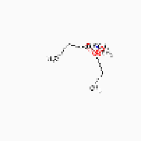 CCCCCCCC/C=C\CCCCCCCC(=O)OCC(OC(=O)CCCCCCC/C=C\CCCCCCCC)C(OC(C)=O)N(C)C